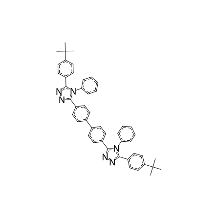 CC(C)(C)c1ccc(-c2nnc(-c3ccc(-c4ccc(-c5nnc(-c6ccc(C(C)(C)C)cc6)n5-c5ccccc5)cc4)cc3)n2-c2ccccc2)cc1